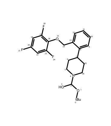 CC(C)(C)OC(O)N1CCC(c2ccccc2COc2c(F)cc(F)cc2F)CC1